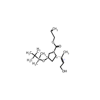 C=CCOC(=O)N1C[C@H](O[Si](C)(C)C(C)(C)C)C[C@H]1/C(C)=C\CO